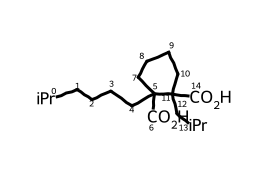 CC(C)CCCCC1(C(=O)O)CCCCC1(CC(C)C)C(=O)O